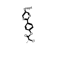 CCCCCCCc1cnc(-c2ccc(OC(=O)[C@@H](C)Cl)cc2)nc1